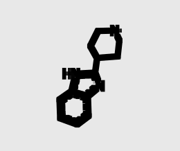 c1ccc2[nH]c(C3CC[N]CC3)nc2c1